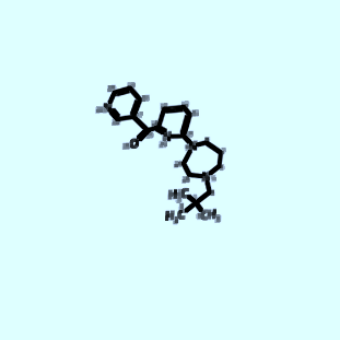 CC(C)(C)CN1CCCN(c2cccc(C(=O)c3cccnc3)n2)CC1